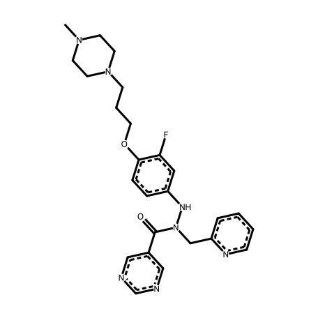 CN1CCN(CCCOc2ccc(NN(Cc3ccccn3)C(=O)c3cncnc3)cc2F)CC1